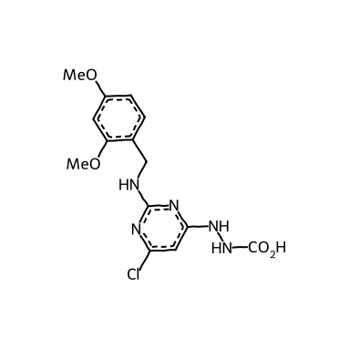 COc1ccc(CNc2nc(Cl)cc(NNC(=O)O)n2)c(OC)c1